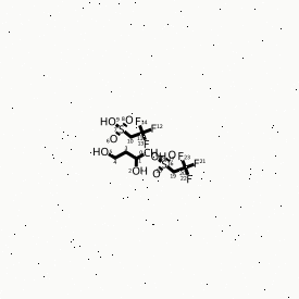 CC(O)CCO.O=S(=O)(O)CC(F)(F)F.O=S(=O)(O)CC(F)(F)F